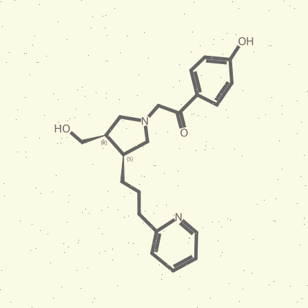 O=C(CN1C[C@@H](CCCc2ccccn2)[C@@H](CO)C1)c1ccc(O)cc1